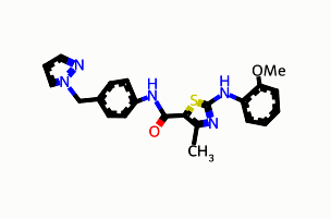 COc1ccccc1Nc1nc(C)c(C(=O)Nc2ccc(Cn3cccn3)cc2)s1